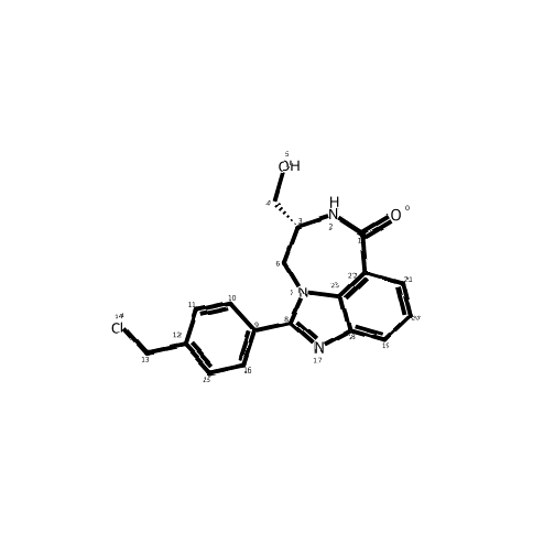 O=C1N[C@@H](CO)Cn2c(-c3ccc(CCl)cc3)nc3cccc1c32